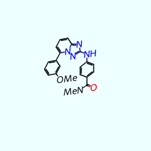 CNC(=O)c1ccc(Nc2nc3cccc(-c4cccc(OC)c4)n3n2)cc1